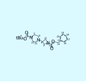 CC(C)(C)OC(=O)N1CCN(C2CN(C(=O)OCc3ccccc3)C2)CC1